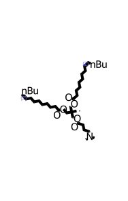 [CH2]C(COC(=O)CCCCCCC/C=C\CCCC)(COC(=O)CCCCCCC/C=C\CCCC)COC(=O)CCCN(C)C